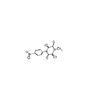 CN1C(=O)C(=O)N(c2ccc([N+](=O)[O-])cc2)C(=O)C1=O